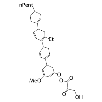 CCCCCC1CC=C(C2C=CC(C3C=CC(C4C=C(OC)C=C(OOC(=O)C(=O)CO)C4)=CC3)=C(CC)C2)CC1